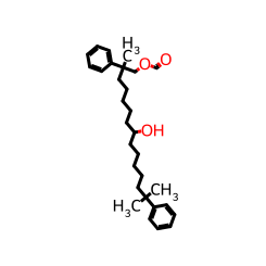 CC(C)(CCCCCC(O)CCCCCC(C)(COC=O)c1ccccc1)c1ccccc1